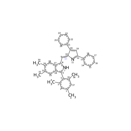 Cc1cc(C)c(-c2[nH]c(/C=C3\N=C(c4ccccc4)C=C3c3ccccc3)c3cc(C)c(C)cc23)c(C)c1